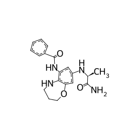 C[C@H](Nc1cc(NC(=O)c2ccccc2)c2c(c1)OCCCN2)C(N)=O